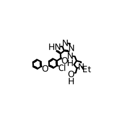 CCN1CC(CNc2ncnc3[nH]cc(C(=O)c4ccc(Oc5ccccc5)cc4Cl)c23)CC1CO